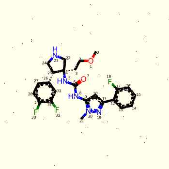 COCC[C@@]1(NC(=O)Nc2cc(-c3ccccc3F)nn2C)CNC[C@H]1c1ccc(F)c(F)c1